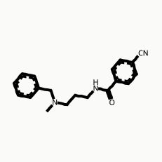 CN(CCCNC(=O)c1ccc(C#N)cc1)Cc1ccccc1